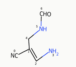 N#CC(=CN)CNC=O